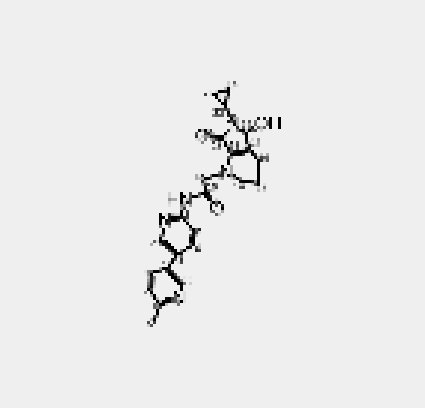 Cc1ccc(-c2ccc(NC(=O)CN3CCCC4=C3C(=O)N(C3CC3)C4O)nc2)cn1